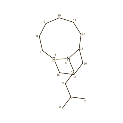 CC(C)CCN1B2CCCCCCC1CCC2